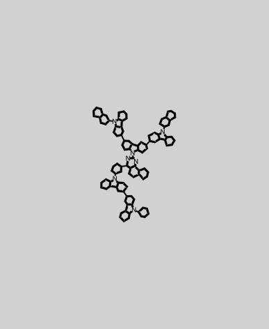 c1ccc(-n2c3ccccc3c3cc(-c4ccc5c(c4)c4ccccc4n5-c4cccc(-c5nc(-n6c7ccc(-c8ccc9c(c8)c8ccccc8n9-c8ccc9ccccc9c8)cc7c7cc(-c8ccc9c(c8)c8ccccc8n9-c8ccc9ccccc9c8)ccc76)nc6c5ccc5ccccc56)c4)ccc32)cc1